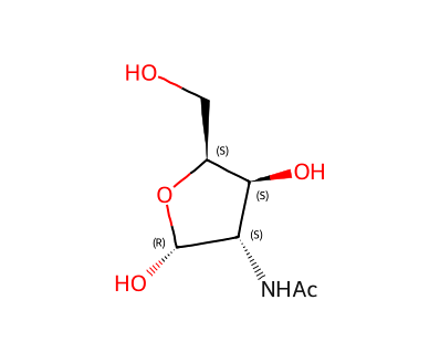 CC(=O)N[C@H]1[C@H](O)[C@H](CO)O[C@H]1O